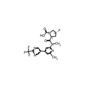 Cc1cc(-c2cnc(C(F)(F)F)nc2)cc(N(C)C(=O)[C@@H]2C[C@@H](F)CN2C(=O)O)n1